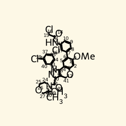 COc1cc2c(cc1-c1cccc(NC(=O)CCl)c1)-c1c(c(C(=O)N3CCOCC3(C)C)nn1-c1cc(Cl)cc(Cl)c1)CO2